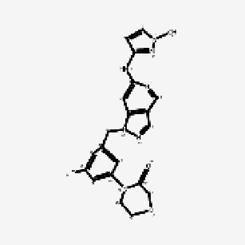 Cn1ccc(Nc2cc3c(cn2)cnn3Cc2cc(F)cc(N3CCOCC3=O)c2)n1